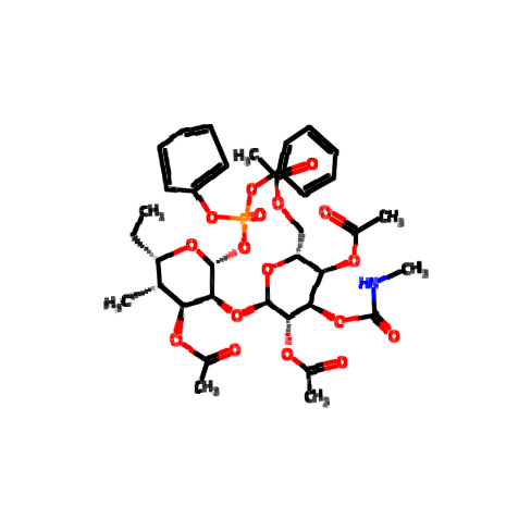 CC[C@@H]1O[C@H](OP(=O)(Oc2ccccc2)Oc2ccccc2)[C@@H](O[C@H]2O[C@H](COC(C)=O)[C@@H](OC(C)=O)[C@@H](OC(=O)NC)[C@@H]2OC(C)=O)[C@@H](OC(C)=O)[C@@H]1C